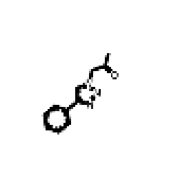 CC(=O)Cn1cc(-c2ccccc2)nn1